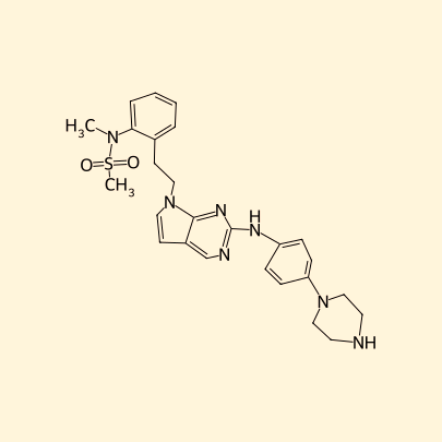 CN(c1ccccc1CCn1ccc2cnc(Nc3ccc(N4CCNCC4)cc3)nc21)S(C)(=O)=O